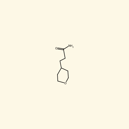 NC(=O)CCC1CCOCC1